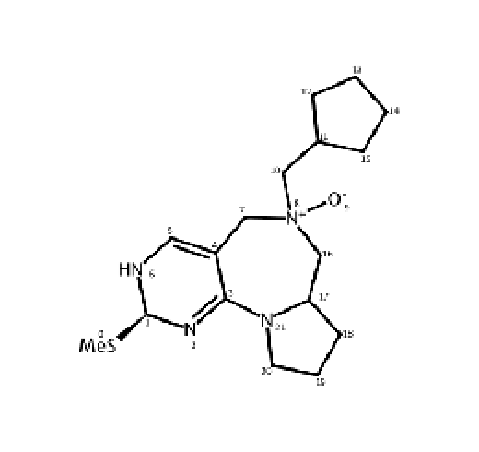 CS[C@@H]1N=C2C(=CN1)C[N+]([O-])(CC1CCCC1)CC1CCCN21